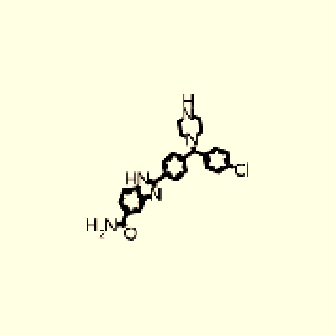 NC(=O)c1ccc2[nH]c(-c3ccc(C(c4ccc(Cl)cc4)N4CCNCC4)cc3)nc2c1